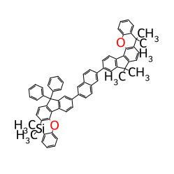 CC1(C)c2ccccc2Oc2c1ccc1c2-c2ccc(-c3ccc4cc(-c5ccc6c(c5)C(c5ccccc5)(c5ccccc5)c5ccc7c(c5-6)Oc5ccccc5[Si]7(C)C)ccc4c3)cc2C1(C)C